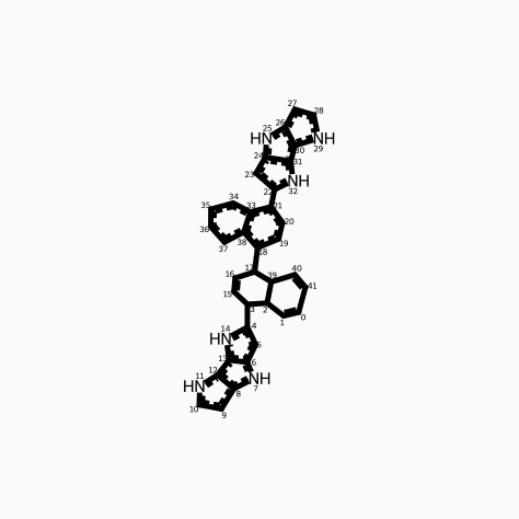 C1=CC2C(c3cc4[nH]c5cc[nH]c5c4[nH]3)C=CC(c3ccc(-c4cc5[nH]c6cc[nH]c6c5[nH]4)c4ccccc34)C2C=C1